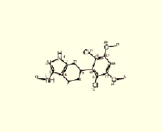 CNc1n[nH]c2c1CCC(c1c(Cl)c(OC)cc(OC)c1Cl)C2